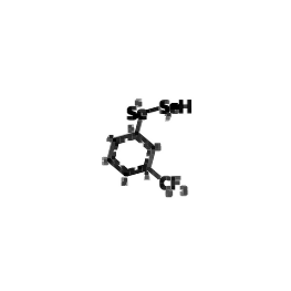 FC(F)(F)c1cccc([Se][SeH])c1